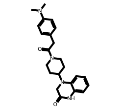 CN(C)c1ccc(CC(=O)N2CCC(N3CC(=O)Nc4ccccc43)CC2)cc1